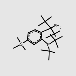 CC(C)(C)P(c1cc([Si](C)(C)C)ccc1C(P)(C(C)(C)C)C(C)(C)C)C(C)(C)C